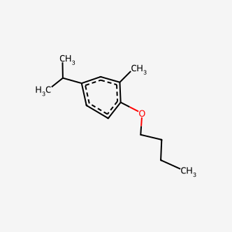 CCCCOc1ccc(C(C)C)cc1C